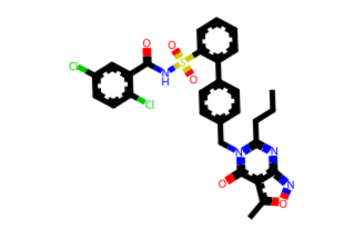 CCCc1nc2noc(C)c2c(=O)n1Cc1ccc(-c2ccccc2S(=O)(=O)NC(=O)c2cc(Cl)ccc2Cl)cc1